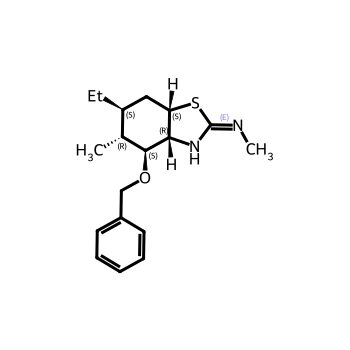 CC[C@H]1C[C@@H]2S/C(=N/C)N[C@@H]2[C@@H](OCc2ccccc2)[C@@H]1C